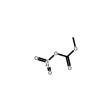 COC(=O)O[SH](=O)=O